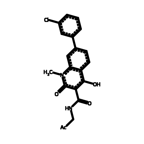 CC(=O)CNC(=O)c1c(O)c2ccc(-c3cccc(Cl)c3)cc2n(C)c1=O